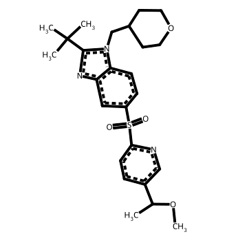 COC(C)c1ccc(S(=O)(=O)c2ccc3c(c2)nc(C(C)(C)C)n3CC2CCOCC2)nc1